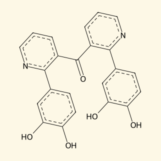 O=C(c1cccnc1-c1ccc(O)c(O)c1)c1cccnc1-c1ccc(O)c(O)c1